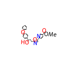 COC(=O)c1ccc(-c2cnc(CCC(O)c3ccc(Oc4ccccc4)cc3)o2)nc1